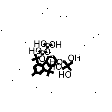 Cc1cc(C(C)(C)C)c(C2(OP(O)OP(O)O)CCCCC2)c(C(C)(C)C)c1.OCC(CO)(CO)CO